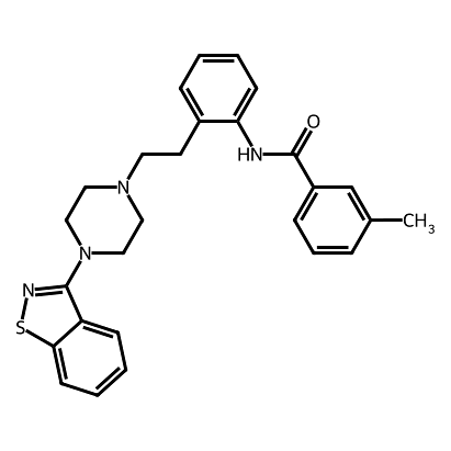 Cc1cccc(C(=O)Nc2ccccc2CCN2CCN(c3nsc4ccccc34)CC2)c1